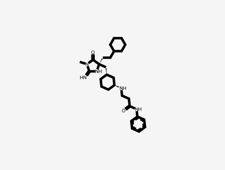 CN1C(=N)N[C@](CCC2CCCCC2)(C[C@H]2CCC[C@@H](NCCC(=O)Nc3ccccc3)C2)C1=O